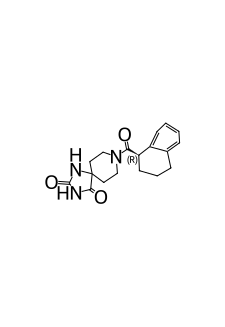 O=C1NC(=O)C2(CCN(C(=O)[C@@H]3CCCc4ccccc43)CC2)N1